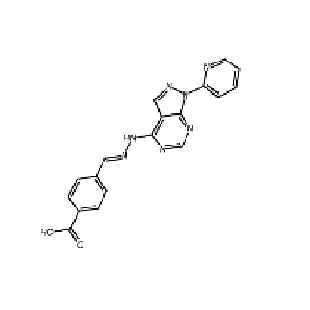 O=C(O)c1ccc(C=NNc2ncnc3c2cnn3-c2ccccn2)cc1